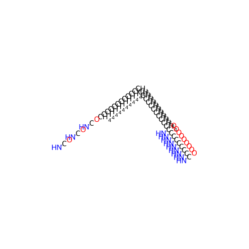 C.C.C.C.C.C.C.C.C.C.C.C.C.C.C.C.C.C.C.C.C.C.C.N=C=O.N=C=O.N=C=O.N=C=O.N=C=O.N=C=O.N=C=O.N=C=O.N=C=O.N=C=O.N=C=O.N=C=O